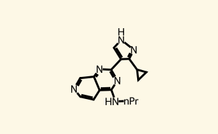 CCCNc1nc(-c2c[nH]nc2C2CC2)nc2cnccc12